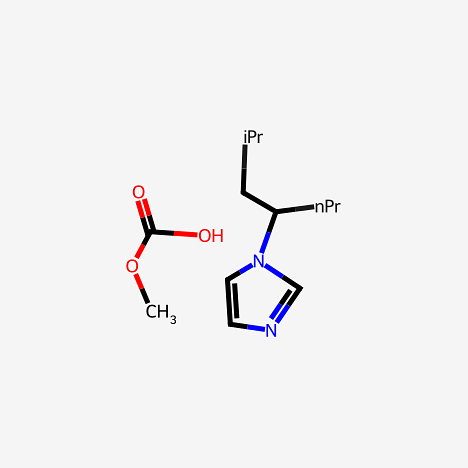 CCCC(CC(C)C)n1ccnc1.COC(=O)O